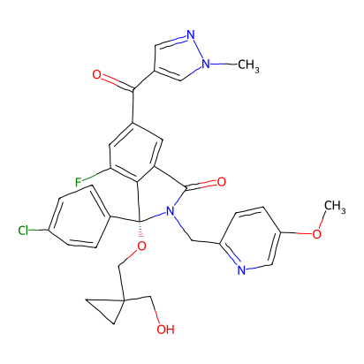 COc1ccc(CN2C(=O)c3cc(C(=O)c4cnn(C)c4)cc(F)c3[C@]2(OCC2(CO)CC2)c2ccc(Cl)cc2)nc1